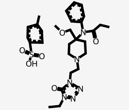 CCC(=O)N(c1ccccc1)C1(COC)CCN(CCn2nnn(CC)c2=O)CC1.Cc1ccc(S(=O)(=O)O)cc1